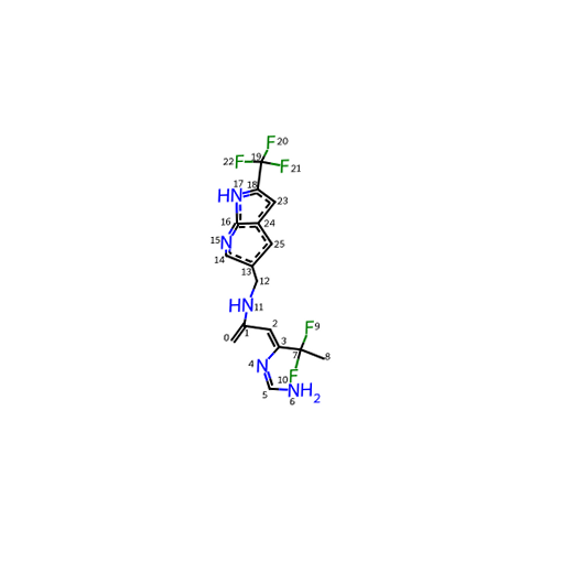 C=C(/C=C(\N=C/N)C(C)(F)F)NCc1cnc2[nH]c(C(F)(F)F)cc2c1